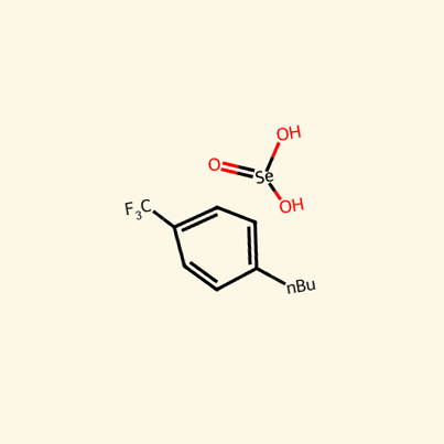 CCCCc1ccc(C(F)(F)F)cc1.O=[Se](O)O